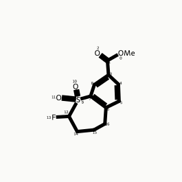 COC(=O)c1ccc2c(c1)S(=O)(=O)C(F)CCC2